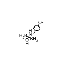 BC(B)(O)NCc1ccc(OC)cc1